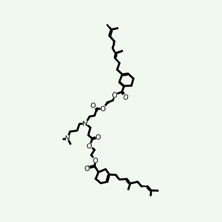 CC(C)=CCC/C(C)=C/CCC1=CCCC(C(=O)OCCOC(=O)CCN(CCCN(C)C)CCC(=O)OCCOC(=O)C2CCC=C(CC/C=C(\C)CCC=C(C)C)C2)C1